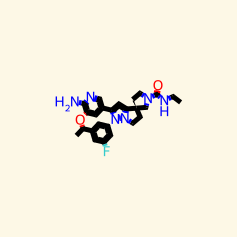 CCNC(=O)N1CC[C@@]2(CCn3nc(-c4cnc(N)c(OC(C)c5cccc(F)c5)c4)cc32)C1